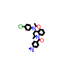 CC(=O)N(c1ccc(Cl)cc1)C1CC(C)N(C(=O)c2ccc(N(C)C)cc2)c2ccccc21